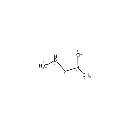 CBCB(C)C